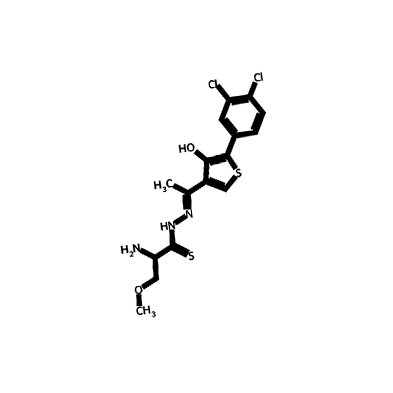 COCC(N)C(=S)NN=C(C)c1csc(-c2ccc(Cl)c(Cl)c2)c1O